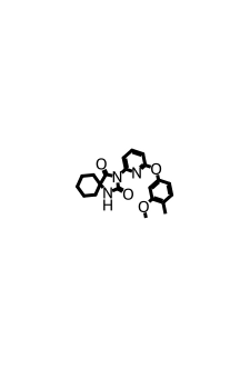 COc1cc(Oc2cccc(N3C(=O)NC4(CCCCC4)C3=O)n2)ccc1C